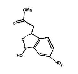 COC(=O)CC1OB(O)c2cc([N+](=O)[O-])ccc21